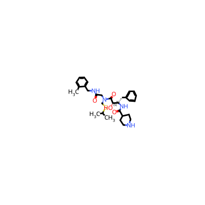 Cc1ccccc1CNC(=O)CN(CSC(C)C)C(=O)[C@@H](O)[C@H](Cc1ccccc1)NC(=O)C1CCNCC1